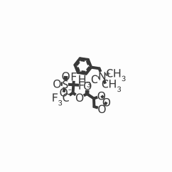 C[N+](C)(C)Cc1ccccc1.O=C(OC(C(F)(F)F)C(F)(F)S(=O)(=O)[O-])C1COOO1